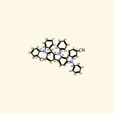 N#Cc1ccc2c3c(ccc4c5ccc6c(c7ccccc7n6-c6ccccc6C#N)c5n(-c5ccccc5)c43)n(-c3ccccc3)c2c1